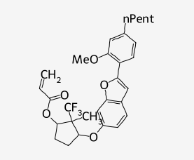 C=CC(=O)OC1CCC(Oc2ccc3cc(-c4ccc(CCCCC)cc4OC)oc3c2)C1(C)C(F)(F)F